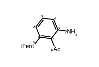 CCCC(C)c1cccc(N)c1C(C)=O